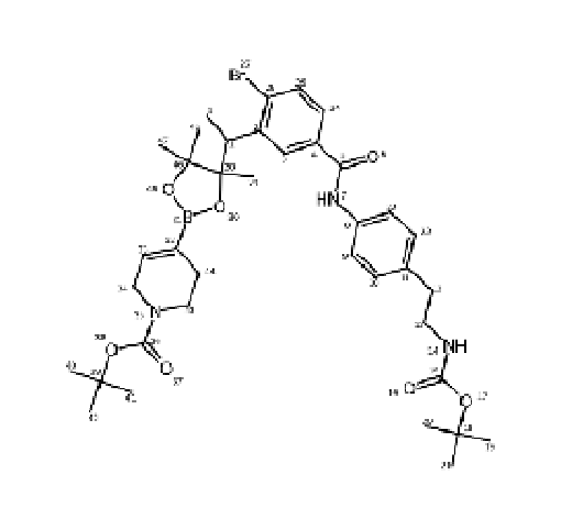 CC(c1cc(C(=O)Nc2ccc(CCNC(=O)OC(C)(C)C)cc2)ccc1Br)C1(C)OB(C2=CCN(C(=O)OC(C)(C)C)CC2)OC1(C)C